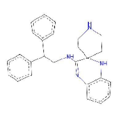 c1ccc(C(CNC2=Nc3ccccc3NC23CCNCC3)c2ccccc2)cc1